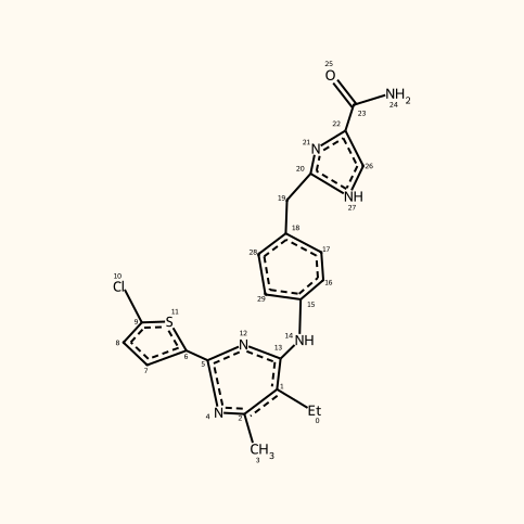 CCc1c(C)nc(-c2ccc(Cl)s2)nc1Nc1ccc(Cc2nc(C(N)=O)c[nH]2)cc1